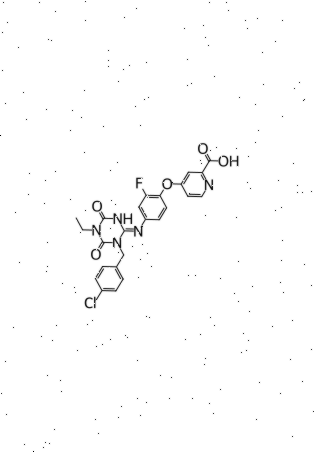 CCn1c(=O)[nH]/c(=N\c2ccc(Oc3ccnc(C(=O)O)c3)c(F)c2)n(Cc2ccc(Cl)cc2)c1=O